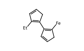 CCC1=C(C2=[C]([Fe])CC=C2)CC=C1